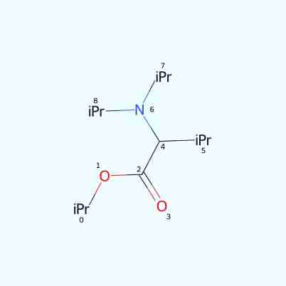 CC(C)OC(=O)C(C(C)C)N(C(C)C)C(C)C